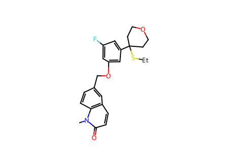 CCSC1(c2cc(F)cc(OCc3ccc4c(ccc(=O)n4C)c3)c2)CCOCC1